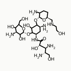 NC1CC[C@@H](CNCCO)O[C@@H]1OC1C(O)C(O[C@H]2OC(CO)C(O)[C@H](N)C2O)[C@H](NC(=O)[C@@H](O)[C@@H](N)[C@@H](N)CO)C[C@@H]1N